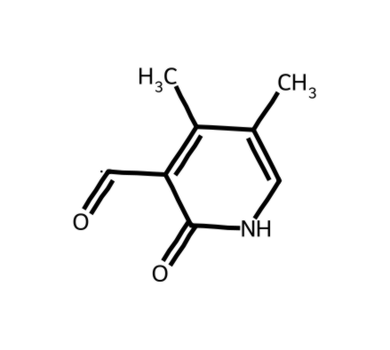 Cc1c[nH]c(=O)c([C]=O)c1C